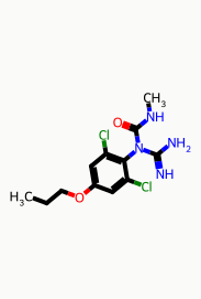 CCCOc1cc(Cl)c(N(C(=N)N)C(=O)NC)c(Cl)c1